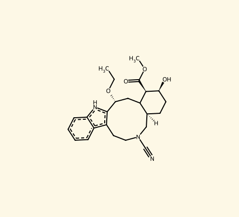 CCO[C@@H]1CC2[C@@H](CC[C@H](O)[C@@H]2C(=O)OC)CN(C#N)CCc2c1[nH]c1ccccc21